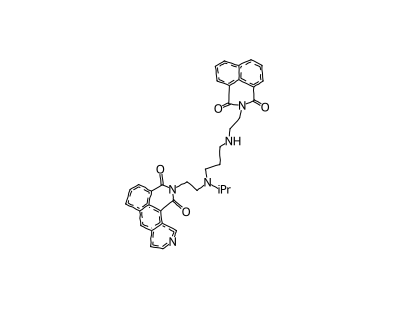 CC(C)N(CCCNCCN1C(=O)c2cccc3cccc(c23)C1=O)CCN1C(=O)c2cccc3cc4ccncc4c(c23)C1=O